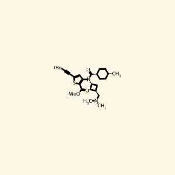 COC(=O)c1sc(C#CC(C)(C)C)cc1N(C(=O)[C@H]1CC[C@H](C)CC1)[C@H]1C[C@H](CN(C)C)C1